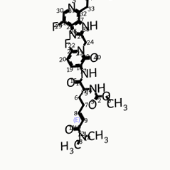 COC(=O)N[C@@H](CC/C=C/C(=O)N(C)C)C(=O)Nc1ccc(F)n(Cc2nc3c(F)cnc(CC(C)C)c3[nH]2)c1=O